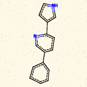 c1ccc(-c2ccc(-c3cc[nH]c3)nc2)cc1